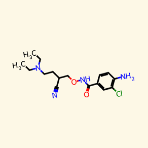 CCN(CC)CCC(C#N)CONC(=O)c1ccc(N)c(Cl)c1